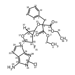 CCOC(=O)C(Cc1ccccc1)(OC1C2[C@@H]1O[C@@H](n1cnc3c(N)nc(Cl)nc31)[C@H]2F)C(=O)OCC